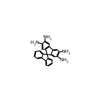 Nc1cc2c(cc1N)C1(c3ccccc3-c3ccccc31)c1cc(N)c(N)cc1-2